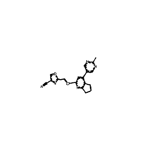 Cc1ncc(-c2cc(OCc3nc(C#N)co3)nc3c2CCC3)cn1